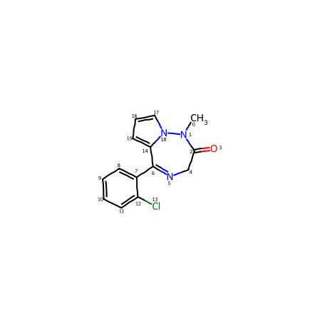 CN1C(=O)CN=C(c2ccccc2Cl)c2cccn21